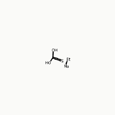 C[CH2][Na].OC(O)=S